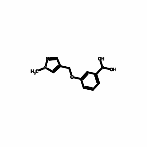 Cn1cc(COc2cccc(B(O)O)c2)cn1